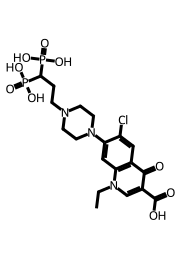 CCn1cc(C(=O)O)c(=O)c2cc(Cl)c(N3CCN(CCC(P(=O)(O)O)P(=O)(O)O)CC3)cc21